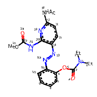 CCN(CC)C(=O)Oc1ccccc1/N=N/c1ccc(NC(C)=O)nc1NC(=O)OC